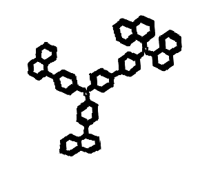 c1ccc2c(-c3ccc(N(c4ccc(-c5ccc(N(c6cccc7ccccc67)c6cccc7ccccc67)cc5)cc4)c4ccc(-c5cccc6ccccc56)cc4)cc3)cccc2c1